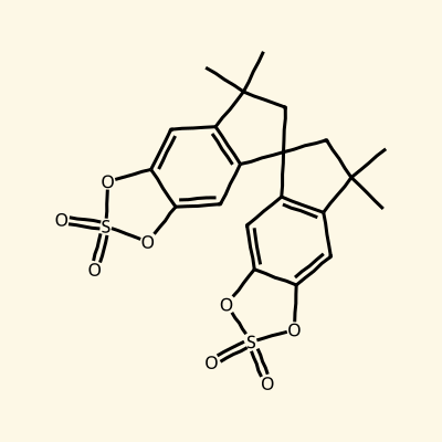 CC1(C)CC2(CC(C)(C)c3cc4c(cc32)OS(=O)(=O)O4)c2cc3c(cc21)OS(=O)(=O)O3